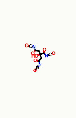 O=C=NC(=O)CC(O)(CC(=O)N=C=O)C(=O)N=C=O